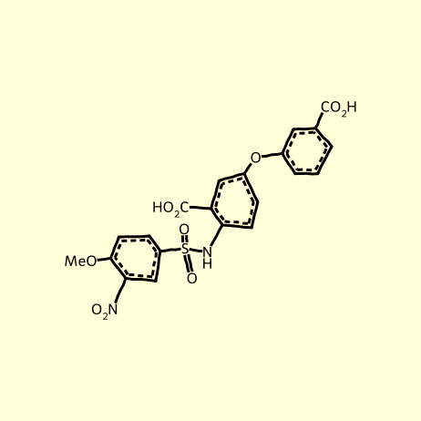 COc1ccc(S(=O)(=O)Nc2ccc(Oc3cccc(C(=O)O)c3)cc2C(=O)O)cc1[N+](=O)[O-]